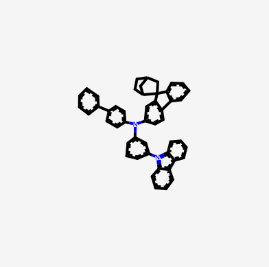 c1ccc(-c2ccc(N(c3cccc(-n4c5ccccc5c5ccccc54)c3)c3ccc4c(c3)C3(CC5CCC3C5)c3ccccc3-4)cc2)cc1